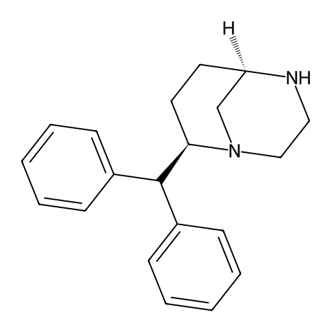 c1ccc(C(c2ccccc2)[C@H]2CC[C@@H]3CN2CCN3)cc1